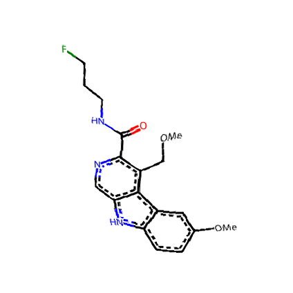 COCc1c(C(=O)NCCCF)ncc2[nH]c3ccc(OC)cc3c12